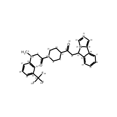 CN(CC(=O)N1CCC(C(=O)CC2c3ccccc3-c3cncn32)CC1)c1cccc(C(F)(F)F)c1